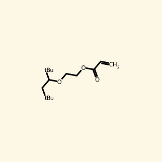 C=CC(=O)OCCOC(CC(C)(C)C)C(C)(C)C